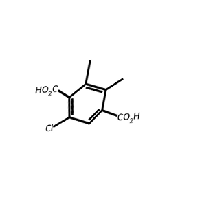 Cc1c(C(=O)O)cc(Cl)c(C(=O)O)c1C